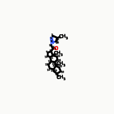 Cc1cnn(CC(=O)C2CCC3C4CCC5CC(C)CCC5(C)C4CCC23C)c1